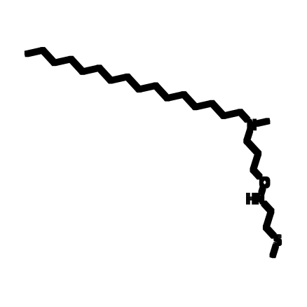 CCCCCCCCCCCCCCCCN(C)CCCONCCSC